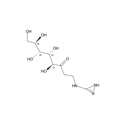 O=C(CCNC1=NN1)[C@@H](O)[C@@H](O)[C@H](O)[C@H](O)CO